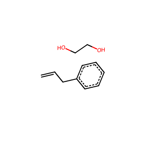 C=CCc1ccccc1.OCCO